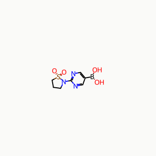 O=S1(=O)CCCN1c1ncc(B(O)O)cn1